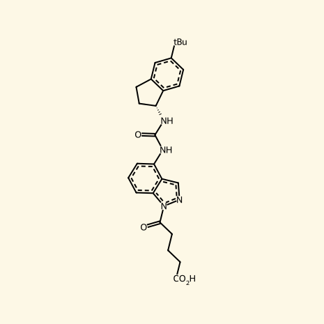 CC(C)(C)c1ccc2c(c1)CC[C@H]2NC(=O)Nc1cccc2c1cnn2C(=O)CCCC(=O)O